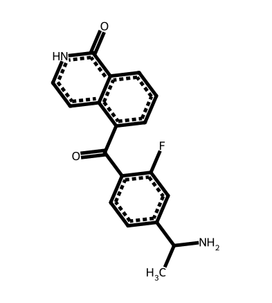 CC(N)c1ccc(C(=O)c2cccc3c(=O)[nH]ccc23)c(F)c1